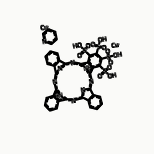 O=S(=O)(O)c1c(S(=O)(=O)O)c(S(=O)(=O)O)c2c3nc4nc(nc5[nH]c(nc6nc(nc([nH]3)c2c1S(=O)(=O)O)-c1ccccc1-6)c1ccccc51)-c1ccccc1-4.[Cu].[Cu].c1ccncc1